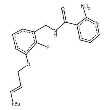 CCCC/C=C/COc1cccc(CNC(=O)c2cccnc2N)c1F